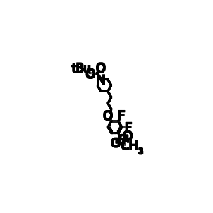 CC(C)(C)OC(=O)N1CCC(CCCOc2ccc(S(C)(=O)=O)c(F)c2F)CC1